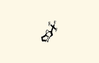 FC(F)(F)c1cn2nccc2o1